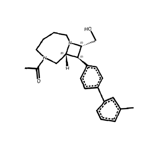 CC(=O)N1CCCCN2[C@H](CO)[C@@H](c3ccc(-c4cccc(C)c4)cc3)[C@@H]2C1